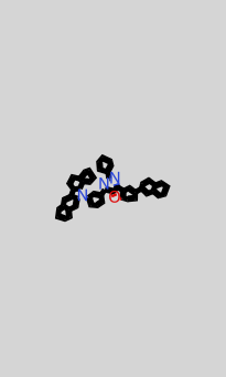 C1=CC2c3cc4ccccc4cc3N(c3cccc(-c4nc(-c5ccccc5)nc5c4oc4ccc(-c6ccc7ccccc7c6)cc45)c3)C2c2ccccc21